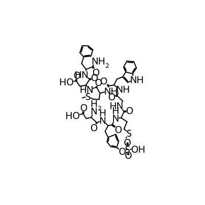 CSCCC(NC(=O)C(Cc1ccc(OS(=O)(=O)O)cc1)NC(=O)C(N)CC(=O)O)C(=O)NCC(=O)NC(Cc1c[nH]c2ccccc12)C(=O)NC(CCSC)C(=O)NC(CC(=O)O)C(=O)NC(Cc1ccccc1)C(N)=O